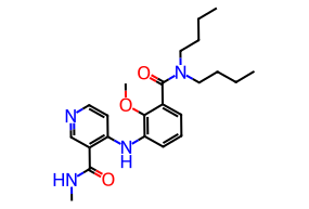 CCCCN(CCCC)C(=O)c1cccc(Nc2ccncc2C(=O)NC)c1OC